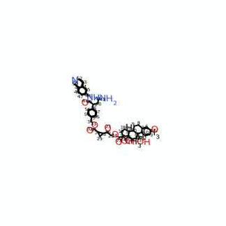 C[C@]12C=CC(=O)C=C1CCC1[C@@H]2[C@@H](O)C[C@@]2(C)[C@H]1CC[C@]2(O)C(=O)OCC(=O)C1CC1C(=O)OCc1ccc(C(CCN)C(=O)Nc2ccc3cnccc3c2)cc1